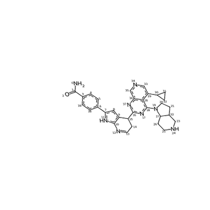 NC(=O)c1ccc(-c2cc3c([nH]2)N=CCC3c2nc(N3CCC4CNCCC43)c3c(C4CC4)cncc3n2)cc1